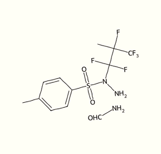 Cc1ccc(S(=O)(=O)N(N)C(F)(F)C(C)(F)C(F)(F)F)cc1.NC=O